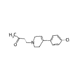 CC(=O)CCN1CC=C(c2ccc(Cl)cc2)CC1